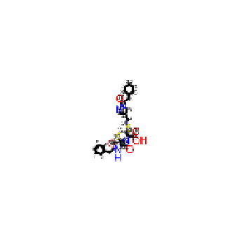 O=C(Cc1ccccc1)N[C@@H]1C(=O)N2C(C(=O)O)=C(S/C=C/c3cnn(C(=O)Cc4ccccc4)c3)CS[C@H]12